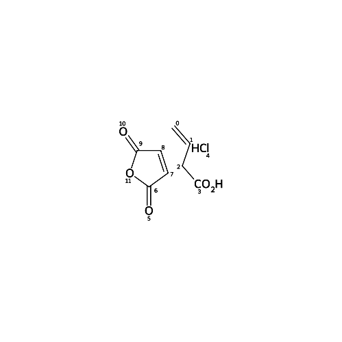 C=CCC(=O)O.Cl.O=C1C=CC(=O)O1